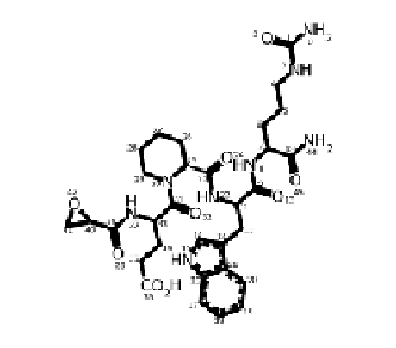 NC(=O)NCCCC(NC(=O)C(Cc1c[nH]c2ccccc12)NC(=O)[C@@H]1CCCCN1C(=O)C(CCC(=O)O)NC(=O)C1CO1)C(N)=O